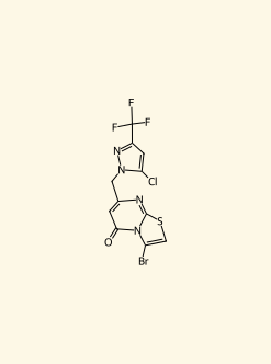 O=c1cc(Cn2nc(C(F)(F)F)cc2Cl)nc2scc(Br)n12